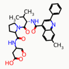 Cc1ccc2c(C(=O)N[C@H](C(=O)N3CCCC3C(=O)NC(C=O)CC(=O)O)C(C)C)cc(-c3ccccc3)nc2c1